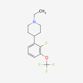 CCN1CCC(c2cccc(OC(F)(F)F)c2F)CC1